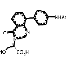 CC(=O)Nc1ccc(-c2cccc3c(=O)n([C@@H](CO)C(=O)O)cnc23)cc1